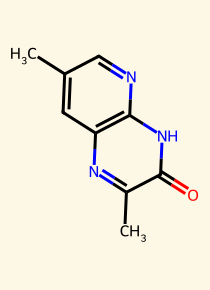 Cc1cnc2[nH]c(=O)c(C)nc2c1